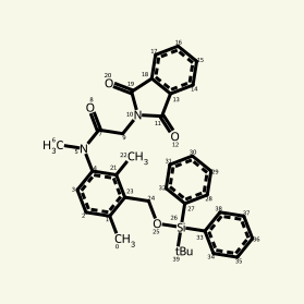 Cc1ccc(N(C)C(=O)CN2C(=O)c3ccccc3C2=O)c(C)c1CO[Si](c1ccccc1)(c1ccccc1)C(C)(C)C